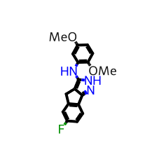 COc1ccc(OC)c(Nc2[nH]nc3c2Cc2cc(F)ccc2-3)c1